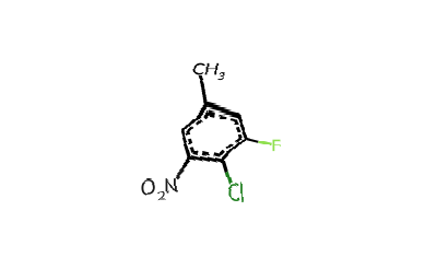 Cc1cc(F)c(Cl)c([N+](=O)[O-])c1